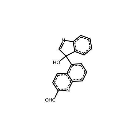 O=Cc1ccc2c(C3(O)C=Nc4ccccc43)cccc2n1